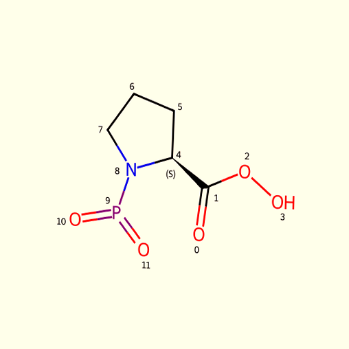 O=C(OO)[C@@H]1CCCN1P(=O)=O